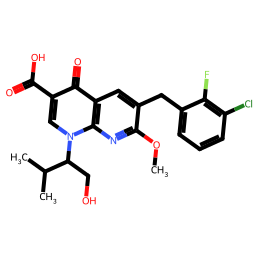 COc1nc2c(cc1Cc1cccc(Cl)c1F)c(=O)c(C(=O)O)cn2C(CO)C(C)C